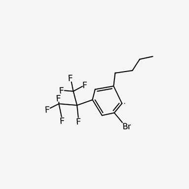 CCCCc1[c]c(Br)cc(C(F)(C(F)(F)F)C(F)(F)F)c1